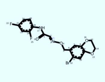 O=C(/C=N/OCc1cc2c(cc1Br)OCCO2)Nc1ccc(F)cc1F